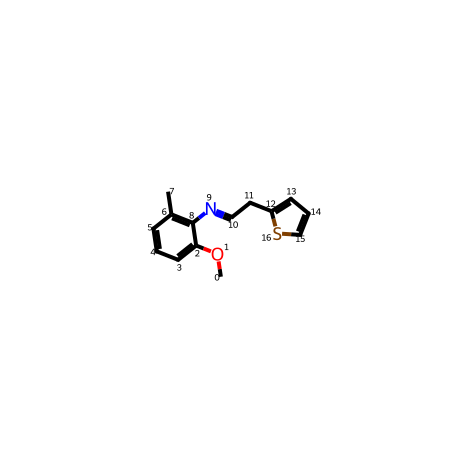 COc1cccc(C)c1N=CCc1cccs1